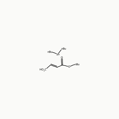 CCCCOC(=O)C=CC(=O)O.CCC[CH2][Sn][CH2]CCC